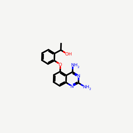 CC(O)c1ccccc1Oc1cccc2nc(N)nc(N)c12